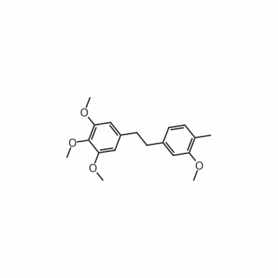 COc1cc(CCc2cc(OC)c(OC)c(OC)c2)ccc1C